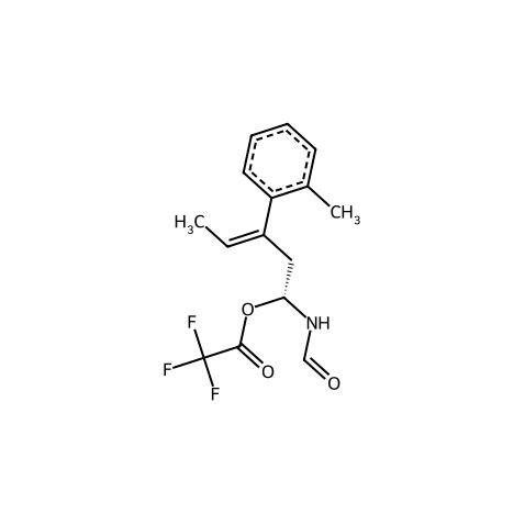 C/C=C(/C[C@H](NC=O)OC(=O)C(F)(F)F)c1ccccc1C